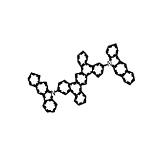 c1ccc2cc3c(cc2c1)c1ccccc1n3-c1ccc2c(c1)c1ccccc1c1cc3c4ccc(-n5c6ccccc6c6cc7ccccc7cc65)cc4c4ccccc4c3cc21